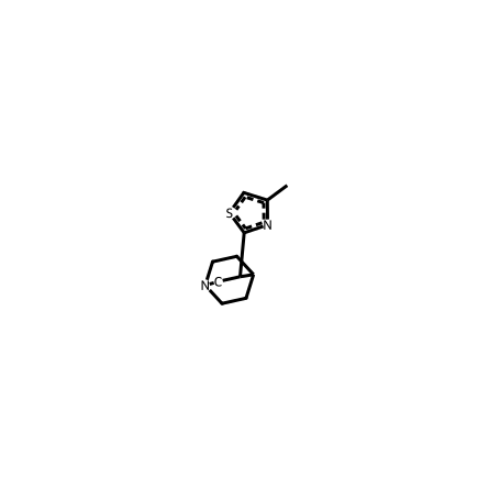 Cc1csc(C2CN3CCC2CC3)n1